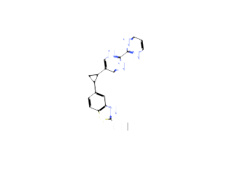 Cc1nc2cc(C3CC3c3cnc(-c4ncccn4)nc3)ccc2s1